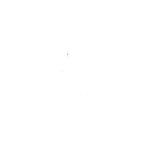 Cc1ccc2c(c1F)CN(C)C2=O